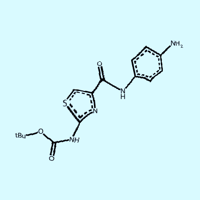 CC(C)(C)OC(=O)Nc1nc(C(=O)Nc2ccc(N)cc2)cs1